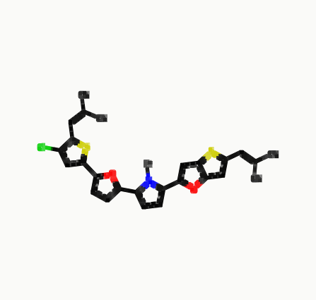 CCn1c(-c2ccc(-c3cc(Cl)c(C=C(C#N)C#N)s3)o2)ccc1-c1cc2sc(C=C(C#N)C#N)cc2o1